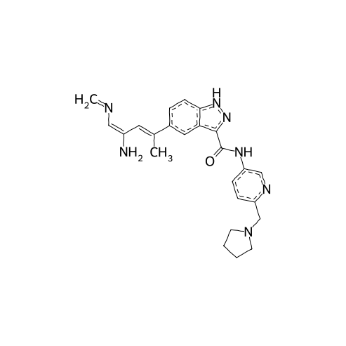 C=N/C=C(N)\C=C(/C)c1ccc2[nH]nc(C(=O)Nc3ccc(CN4CCCC4)nc3)c2c1